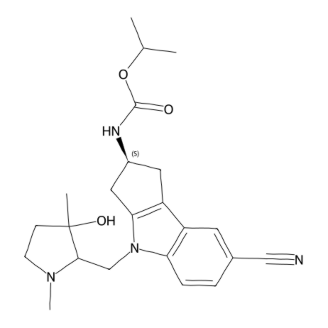 CC(C)OC(=O)N[C@H]1Cc2c(n(CC3N(C)CCC3(C)O)c3ccc(C#N)cc23)C1